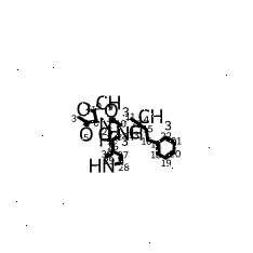 C[C@@H]1OCC(=O)[C@H]1NC(=O)[C@H](CC(C)(C)CCc1ccccc1)NC(=O)c1cc[nH]c1